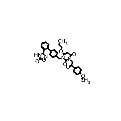 CCCOc1cc(=O)n(CC(=O)c2ccc(OC)cc2)c(=O)n1Cc1ccc(-c2ccccc2-c2noc(=O)[nH]2)cc1